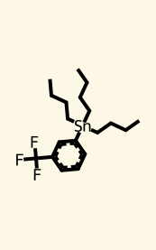 CCC[CH2][Sn]([CH2]CCC)([CH2]CCC)[c]1cccc(C(F)(F)F)c1